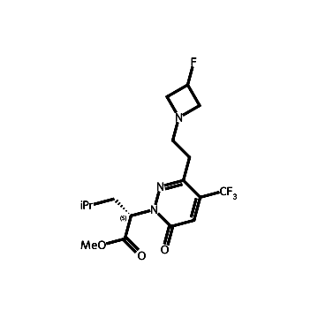 COC(=O)[C@H](CC(C)C)n1nc(CCN2CC(F)C2)c(C(F)(F)F)cc1=O